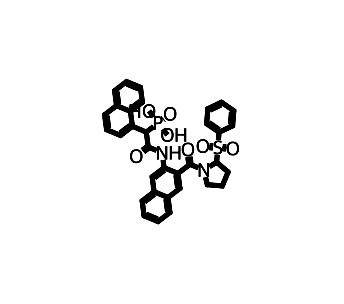 O=C(Nc1cc2ccccc2cc1C(=O)N1CCCC1S(=O)(=O)c1ccccc1)C(c1cccc2ccccc12)P(=O)(O)O